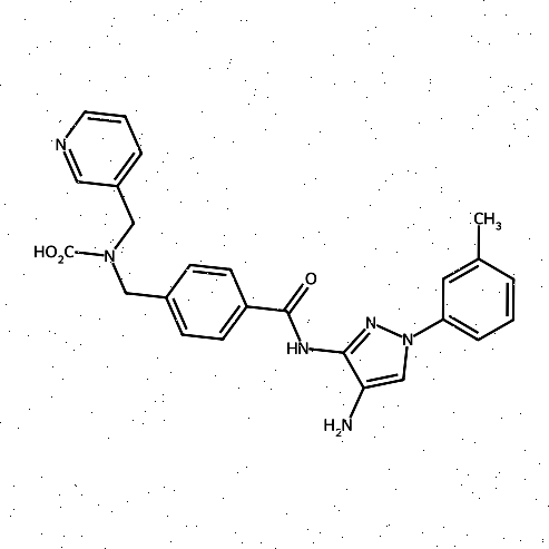 Cc1cccc(-n2cc(N)c(NC(=O)c3ccc(CN(Cc4cccnc4)C(=O)O)cc3)n2)c1